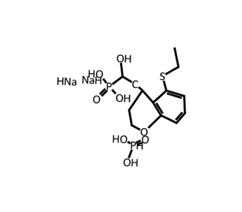 CCSc1cccc2c1C(CC(O)P(=O)(O)O)CCO2.O=[PH](O)O.[NaH].[NaH]